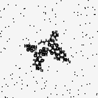 C=CCCC(=O)N(C)[C@H](Cc1cscn1)C(=O)O[C@H]1[C@@H](O)[C@H](n2cnc3c(N)ncnc32)O[C@H]1COP(=O)(O)O[C@H]1C[C@H](n2ccc(N)nc2=O)O[C@@H]1COP(=O)(O)O